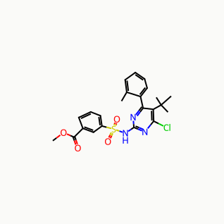 COC(=O)c1cccc(S(=O)(=O)Nc2nc(Cl)c(C(C)(C)C)c(-c3ccccc3C)n2)c1